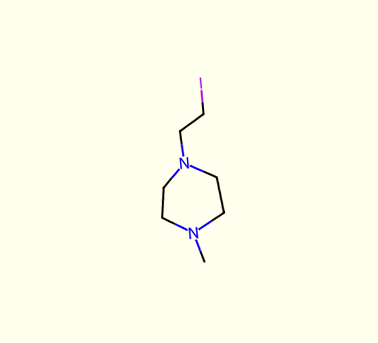 CN1CCN(CCI)CC1